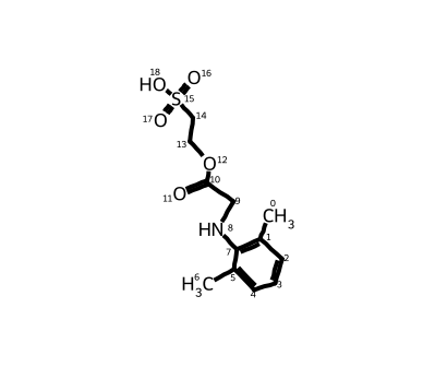 Cc1cccc(C)c1NCC(=O)OCCS(=O)(=O)O